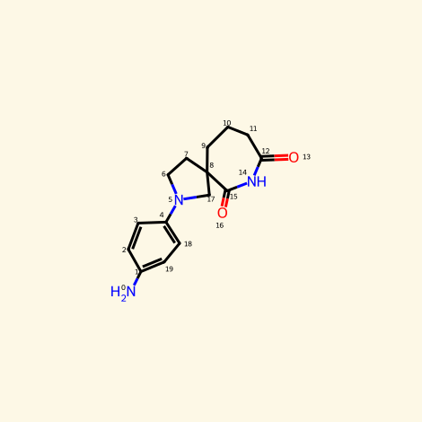 Nc1ccc(N2CCC3(CCCC(=O)NC3=O)C2)cc1